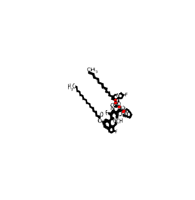 C#Cc1c(F)ccc2cc(OC(=O)CCCCCCCCCCCCCCC)cc(-c3ncc4c(N5CC6CCC(C5)N6C(=O)OCOC(=O)CCCCCCCCCCCCCCC)nc(OC[C@@]56CCCN5C[C@H](F)C6)nc4c3F)c12